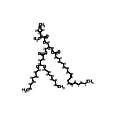 CCCCC/C=C\C/C=C\CCCCCCCC(=O)OCC(COC(=O)CCC(OCCCCCCCC)OCCCCCCCC)COC(=O)N(C)C1CN(C)C1